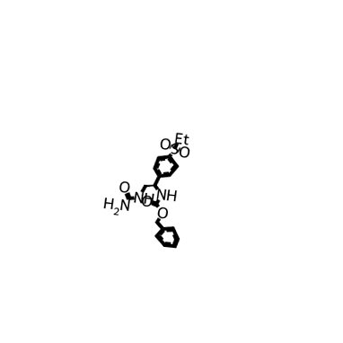 CCS(=O)(=O)c1ccc([C@H](CNC(N)=O)NC(=O)OCc2ccccc2)cc1